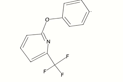 FC(F)(F)c1cccc(Oc2cc[c]cc2)n1